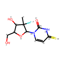 CC1(F)C(O)C(CO)OC1n1ccc(=S)[nH]c1=O